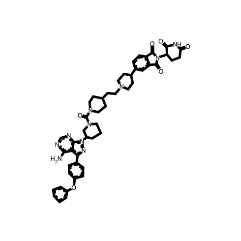 Nc1ncnc2c1c(-c1ccc(Oc3ccccc3)cc1)nn2C1CCCN(C(=O)N2CCC(CCN3CCC(c4ccc5c(c4)C(=O)N(C4CCC(=O)NC4=O)C5=O)CC3)CC2)C1